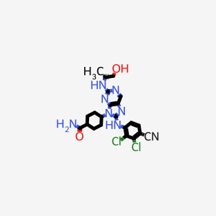 C[C@@H](CO)Nc1ncc2nc(Nc3ccc(C#N)c(Cl)c3Cl)n(C3CCC(C(N)=O)CC3)c2n1